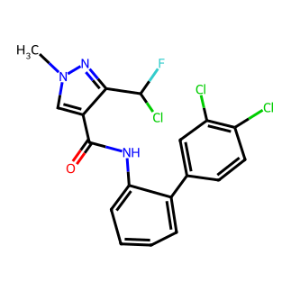 Cn1cc(C(=O)Nc2ccccc2-c2ccc(Cl)c(Cl)c2)c(C(F)Cl)n1